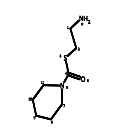 NCCSC(=O)N1CCCCC1